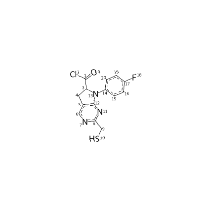 O=C(Cl)C1Cc2cnc(CS)nc2N1c1ccc(F)cc1